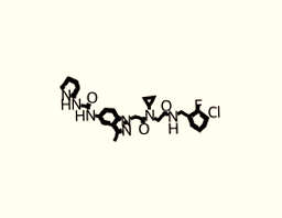 Cc1nn(CC(=O)N(CC(=O)NCc2cccc(Cl)c2F)C2CC2)c2ccc(NC(=O)Nc3ccccn3)cc12